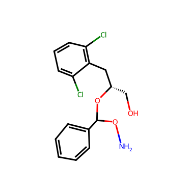 NOC(O[C@@H](CO)Cc1c(Cl)cccc1Cl)c1ccccc1